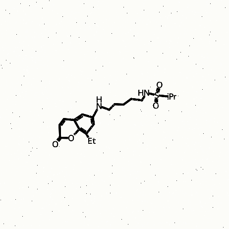 CCc1cc(NCCCCCNS(=O)(=O)C(C)C)cc2ccc(=O)oc12